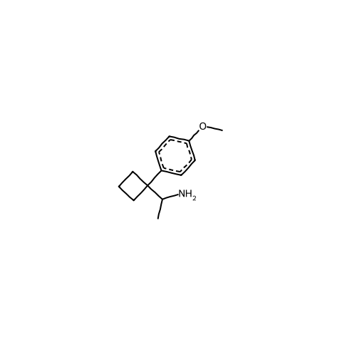 COc1ccc(C2(C(C)N)CCC2)cc1